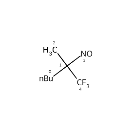 CCCCC(C)(N=O)C(F)(F)F